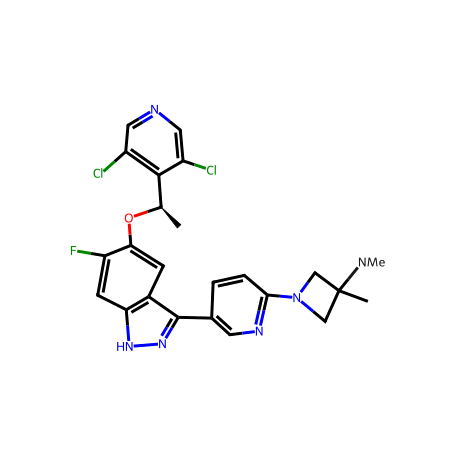 CNC1(C)CN(c2ccc(-c3n[nH]c4cc(F)c(O[C@H](C)c5c(Cl)cncc5Cl)cc34)cn2)C1